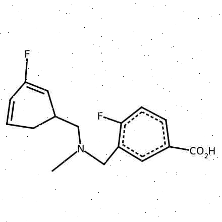 CN(Cc1cc(C(=O)O)ccc1F)CC1C=C(F)C=CC1